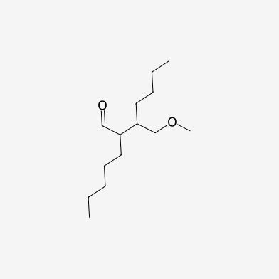 CCCCCC(C=O)C(CCCC)COC